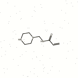 C=CC(=O)NCN1CCNCC1